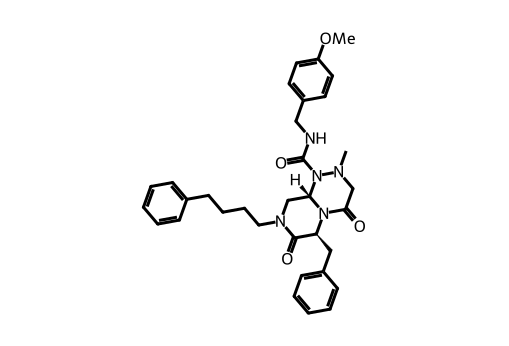 COc1ccc(CNC(=O)N2[C@H]3CN(CCCCc4ccccc4)C(=O)[C@H](Cc4ccccc4)N3C(=O)CN2C)cc1